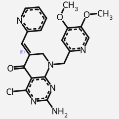 COc1cnc(CN2C/C(=C\c3ccccn3)C(=O)c3c(Cl)nc(N)nc32)cc1OC